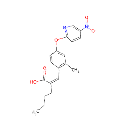 CCCCC(=Cc1ccc(Oc2ccc([N+](=O)[O-])cn2)cc1C)C(=O)O